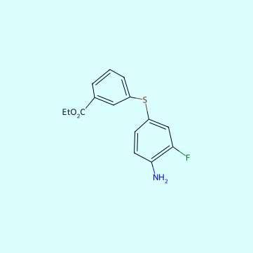 CCOC(=O)c1cccc(Sc2ccc(N)c(F)c2)c1